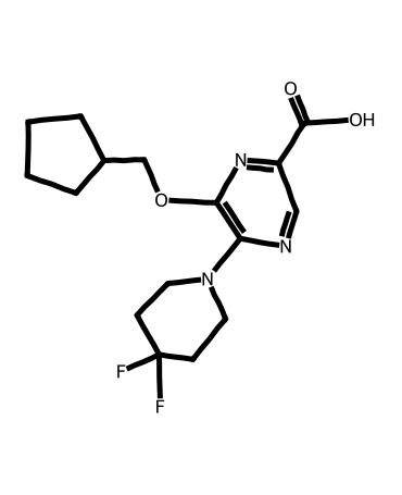 O=C(O)c1cnc(N2CCC(F)(F)CC2)c(OCC2CCCC2)n1